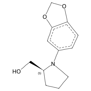 OC[C@@H]1CCCN1c1ccc2c(c1)OCO2